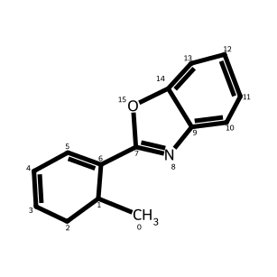 CC1CC=CC=C1c1nc2ccccc2o1